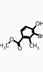 COC(=O)c1ccc(O)c(Br)c1C